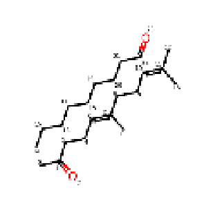 CC(=O)CC/C=C(\C)CCC=C(C)C.CCCCCCCCC=O